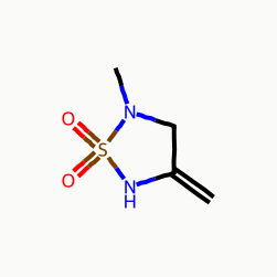 C=C1CN(C)S(=O)(=O)N1